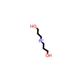 OCCC[N+]CCCO